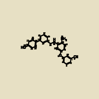 N#Cc1cccc(Oc2cnc(N)c(NCc3cccc(-c4ncc(O)cn4)c3)n2)c1